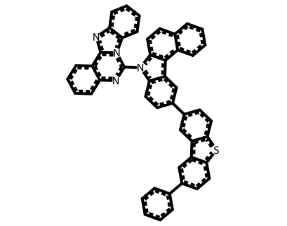 c1ccc(-c2ccc3sc4ccc(-c5ccc6c(c5)c5c7ccccc7ccc5n6-c5nc6ccccc6c6nc7ccccc7n56)cc4c3c2)cc1